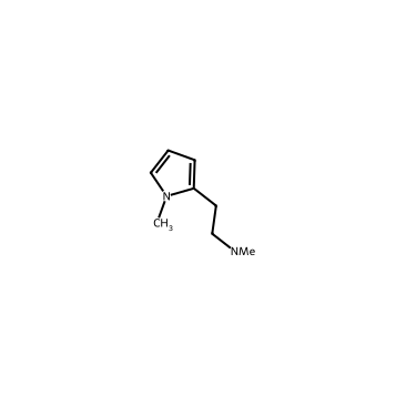 CNCCc1cccn1C